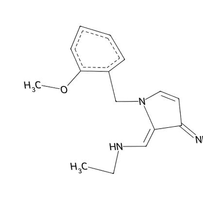 CCN/C=C1/C(=N)C=CN1Cc1ccccc1OC